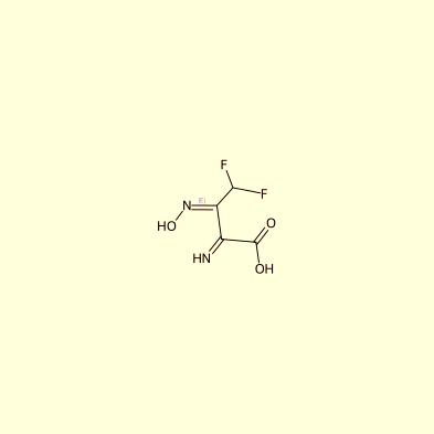 N=C(C(=O)O)/C(=N\O)C(F)F